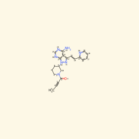 CC#CC(=O)N1CCCC(n2nc(C=Cc3ccccn3)c3c(N)ncnc32)C1